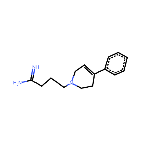 N=C(N)CCCN1CC=C(c2ccccc2)CC1